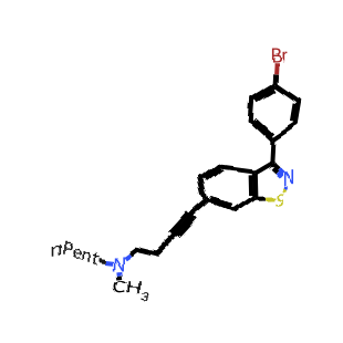 CCCCCN(C)CCC#Cc1ccc2c(-c3ccc(Br)cc3)nsc2c1